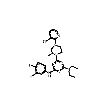 CCN(CC)c1nc(Nc2ccc(F)c(F)c2)nc(N2CCN(c3ncccc3Cl)CC2C)n1